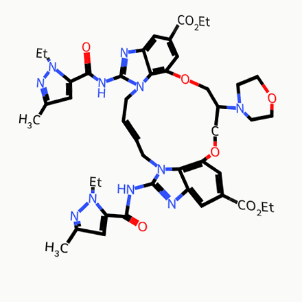 CCOC(=O)c1cc2c3c(c1)nc(NC(=O)c1cc(C)nn1CC)n3C/C=C/Cn1c(NC(=O)c3cc(C)nn3CC)nc3cc(C(=O)OCC)cc(c31)OCC(N1CCOCC1)CO2